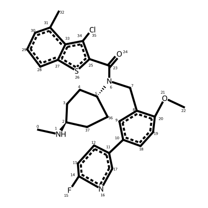 CN[C@H]1CC[C@H](N(Cc2cc(-c3ccc(F)nc3)ccc2OC)C(=O)c2sc3cccc(C)c3c2Cl)CC1